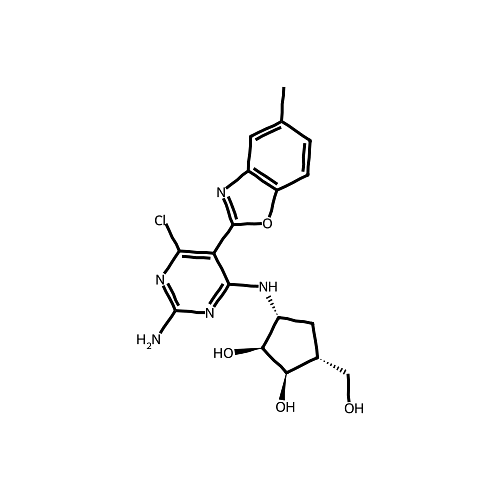 Cc1ccc2oc(-c3c(Cl)nc(N)nc3N[C@@H]3C[C@H](CO)[C@@H](O)[C@H]3O)nc2c1